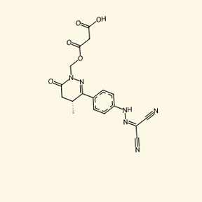 C[C@@H]1CC(=O)N(COC(=O)CC(=O)O)N=C1c1ccc(NN=C(C#N)C#N)cc1